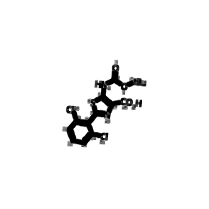 CC(C)(C)OC(=O)Nc1sc(-c2c(Cl)cccc2Cl)nc1C(=O)O